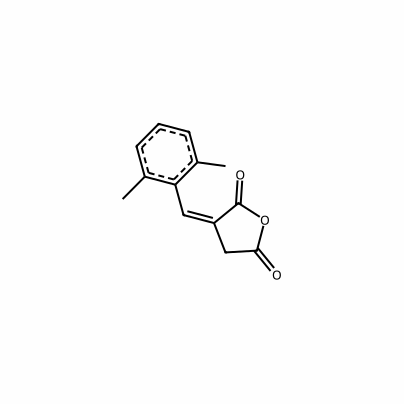 Cc1cccc(C)c1/C=C1/CC(=O)OC1=O